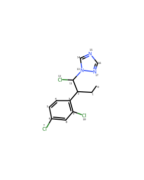 CCC(c1ccc(Cl)cc1Cl)C(Cl)n1cncn1